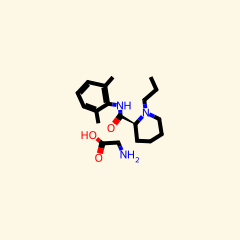 CCCN1CCCC[C@H]1C(=O)Nc1c(C)cccc1C.NCC(=O)O